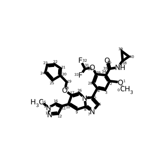 COc1cc(-c2cnc3cc(-c4cnn(C)c4)c(OCc4ccccc4)cn23)cc(OC(F)F)c1C(=O)NC1CC1